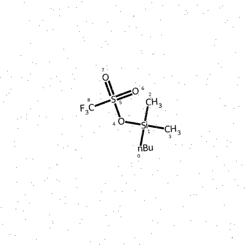 CCCC[Si](C)(C)OS(=O)(=O)C(F)(F)F